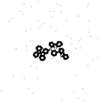 c1ccc(C2(c3ccccc3)c3ccccc3-c3cc(N(c4cccc(-c5cccc6c5sc5ccccc56)c4)c4cccc5c4oc4ccccc45)ccc32)cc1